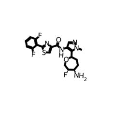 Cn1ncc(NC(=O)c2csc(-c3c(F)cccc3F)n2)c1C1CC[C@@H](N)[C@H](F)CO1